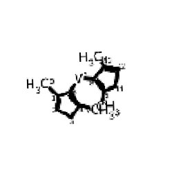 CC1=CCC(C)=[C]1[V][C]1=C(C)CC=C1C